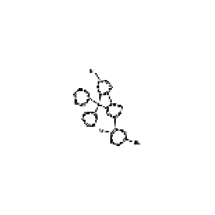 CC(C)(C)c1ccc(Br)c(-c2ccc3c(c2)C(c2ccccc2)(c2ccccc2)c2cc(Br)ccc2-3)c1